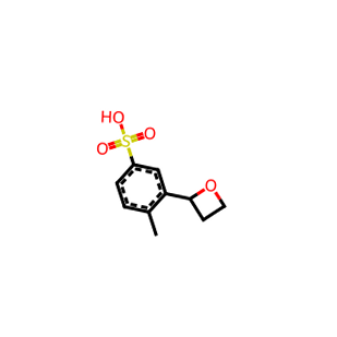 Cc1ccc(S(=O)(=O)O)cc1C1CCO1